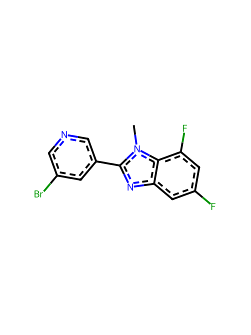 Cn1c(-c2cncc(Br)c2)nc2cc(F)cc(F)c21